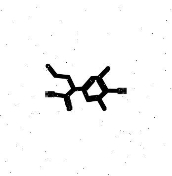 CCCC(C(=O)O)c1cc(C)c(O)c(C)c1